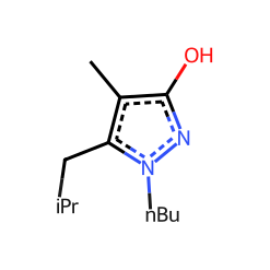 CCCCn1nc(O)c(C)c1CC(C)C